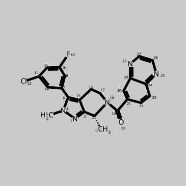 C[C@@H]1c2nn(C)c(-c3cc(F)cc(Cl)c3)c2CCN1C(=O)c1ccc2nccnc2c1